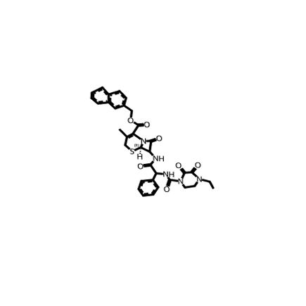 CCN1CCN(C(=O)NC(C(=O)NC2C(=O)N3C(C(=O)OCc4ccc5ccccc5c4)=C(C)CS[C@H]23)c2ccccc2)C(=O)C1=O